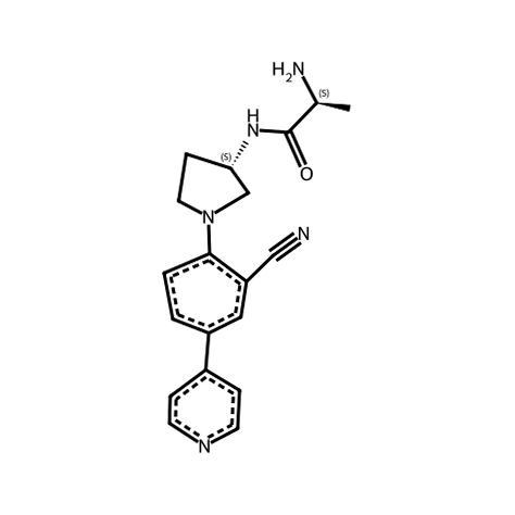 C[C@H](N)C(=O)N[C@H]1CCN(c2ccc(-c3ccncc3)cc2C#N)C1